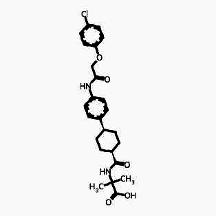 CC(C)(NC(=O)[C@H]1CC[C@@H](c2ccc(NC(=O)COc3ccc(Cl)cc3)cc2)CC1)C(=O)O